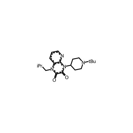 CC(C)Cn1c(=O)c(=O)n(C2CCN(C(C)(C)C)CC2)c2ncccc21